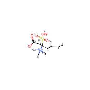 CCCCC(C(=O)[O-])([N+](C)(C)C)S(=O)(=O)O